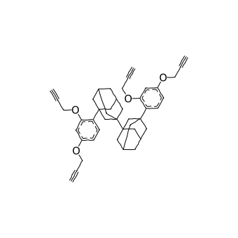 C#CCOc1ccc(C23CC4CC(C2)CC(C25CC6CC(CC(c7ccc(OCC#C)cc7OCC#C)(C6)C2)C5)(C4)C3)c(OCC#C)c1